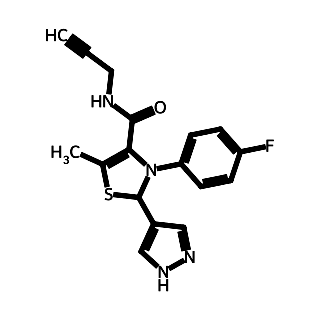 C#CCNC(=O)C1=C(C)SC(c2cn[nH]c2)N1c1ccc(F)cc1